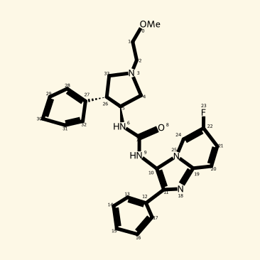 COCCN1C[C@@H](NC(=O)Nc2c(-c3ccccc3)nc3ccc(F)cn23)[C@H](c2ccccc2)C1